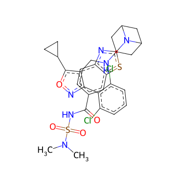 CN(C)S(=O)(=O)NC(=O)c1ccc2nc(N3C4CC(NCc5c(-c6c(Cl)cccc6Cl)noc5C5CC5)CC3C4)sc2c1